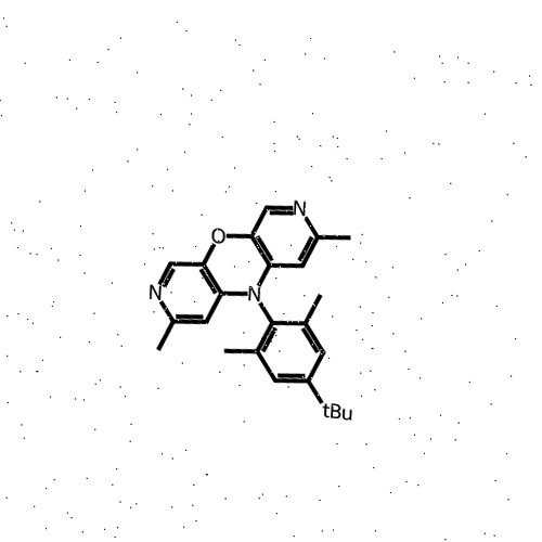 Cc1cc2c(cn1)Oc1cnc(C)cc1N2c1c(C)cc(C(C)(C)C)cc1C